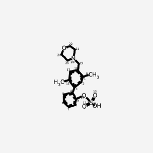 Cc1cc(-c2ccccc2OS(=O)(=O)O)c(C)cc1CN1CCOCC1